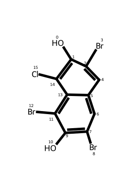 Oc1c(Br)cc2cc(Br)c(O)c(Br)c2c1Cl